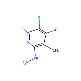 Cc1c(NN)nc(F)c(F)c1F